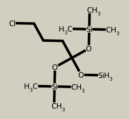 C[Si](C)(C)OC(CCCCl)(O[SiH3])O[Si](C)(C)C